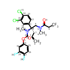 C=CC[C@@](CN(C)C(=O)CC(F)(F)F)(c1ccc(Cl)c(Cl)c1)N(C)C(=O)Oc1ccc(F)c(F)c1